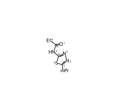 CCCc1nnc(NC(=O)CC)s1